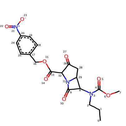 CCCN(C(=O)OC)C1C(=O)N2C(C(=O)OCc3ccc([N+](=O)[O-])cc3)C(=O)CC12